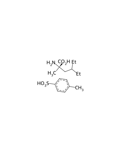 CCC(CC)C[C@](C)(N)C(=O)O.Cc1ccc(S(=O)(=O)O)cc1